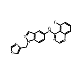 Fc1cccc2ncnc(Nc3ccc4c(cnn4Cc4cscn4)c3)c12